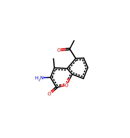 CC(=O)c1cccc2oc(=O)c(N)c(C)c12